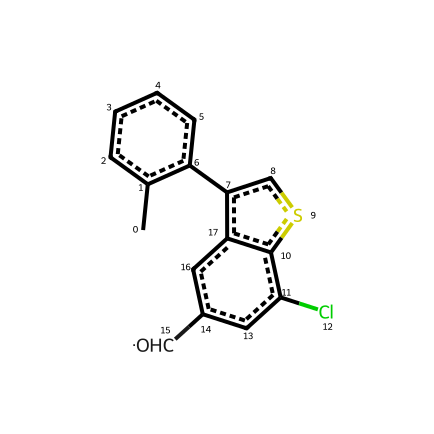 Cc1ccccc1-c1csc2c(Cl)cc([C]=O)cc12